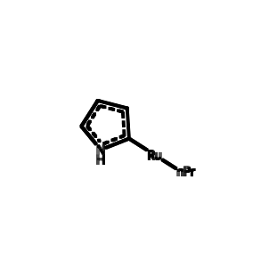 CC[CH2][Ru][c]1ccc[nH]1